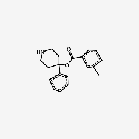 Cc1cccc(C(=O)OC2(c3ccccc3)CCNCC2)c1